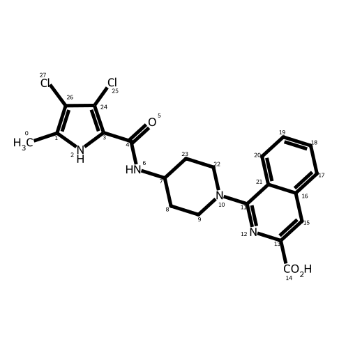 Cc1[nH]c(C(=O)NC2CCN(c3nc(C(=O)O)cc4ccccc34)CC2)c(Cl)c1Cl